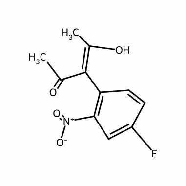 CC(=O)C(=C(C)O)c1ccc(F)cc1[N+](=O)[O-]